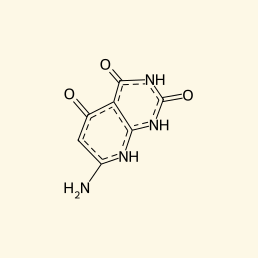 Nc1cc(=O)c2c(=O)[nH]c(=O)[nH]c2[nH]1